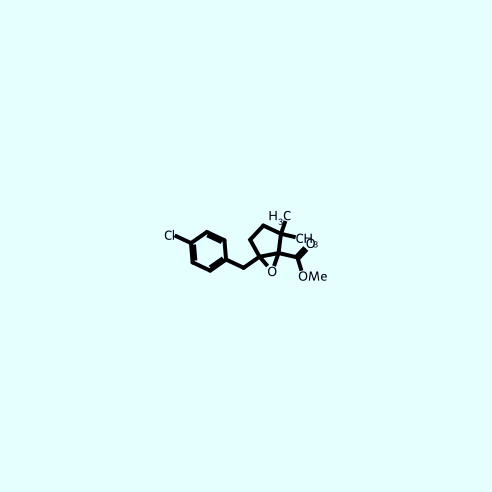 COC(=O)C12OC1(Cc1ccc(Cl)cc1)CCC2(C)C